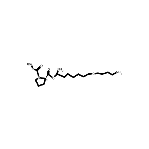 CC(C)(C)OC(=O)N1CCC[C@@H]1C(=O)OC(N)CCCCCCCCCCCN